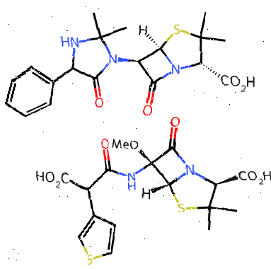 CC1(C)S[C@@H]2[C@H](N3C(=O)C(c4ccccc4)NC3(C)C)C(=O)N2[C@H]1C(=O)O.CO[C@@]1(NC(=O)C(C(=O)O)c2ccsc2)C(=O)N2[C@@H](C(=O)O)C(C)(C)S[C@@H]21